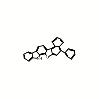 c1ccc(-c2cc3oc4c(ccc5c6ccccc6[nH]c54)c3c3ccccc23)cc1